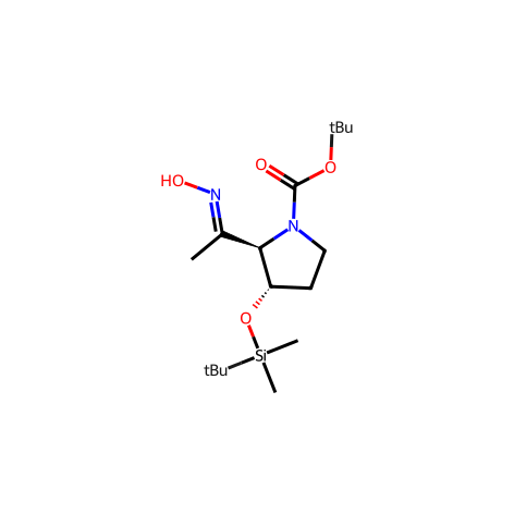 C/C(=N\O)[C@@H]1[C@@H](O[Si](C)(C)C(C)(C)C)CCN1C(=O)OC(C)(C)C